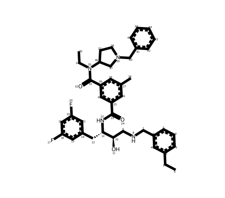 CCc1cccc(CNC[C@@H](O)[C@H](Cc2cc(F)cc(F)c2)NC(=O)c2cc(C)cc(C(=O)N(CC)C3CCN(Cc4ccccc4)C3)c2)c1